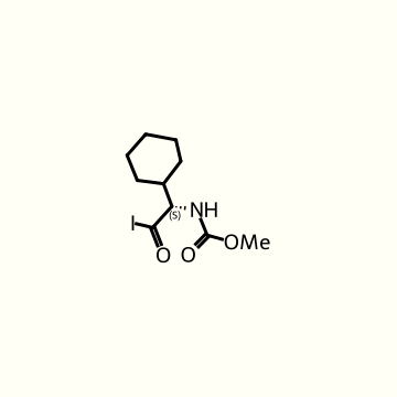 COC(=O)N[C@H](C(=O)I)C1CCCCC1